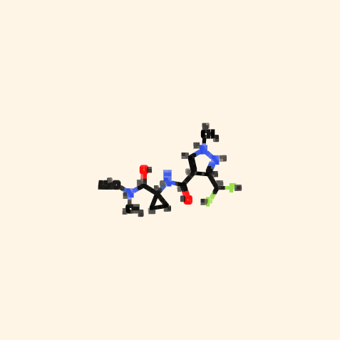 CON(C)C(=O)C1(NC(=O)c2cn(C)nc2C(F)F)CC1